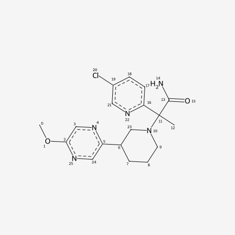 COc1cnc(C2CCCN(C(C)(C(N)=O)c3ccc(Cl)cn3)C2)cn1